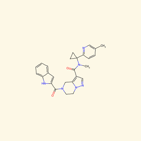 Cc1ccc(C2(N(C)C(=O)c3cnn4c3CN(C(=O)c3cc5ccccc5[nH]3)CC4)CC2)nc1